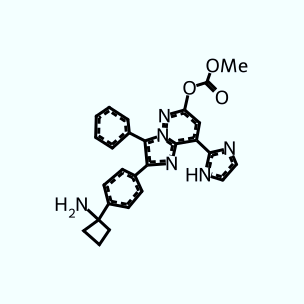 COC(=O)Oc1cc(-c2ncc[nH]2)c2nc(-c3ccc(C4(N)CCC4)cc3)c(-c3ccccc3)n2n1